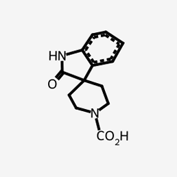 O=C(O)N1CCC2(CC1)C(=O)Nc1ccccc12